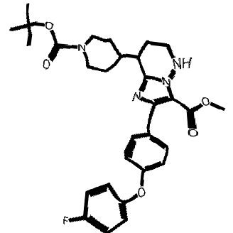 COC(=O)c1c(-c2ccc(Oc3ccc(F)cc3)cc2)nc2n1NCCC2C1CCN(C(=O)OC(C)(C)C)CC1